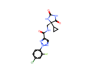 O=C1NC(=O)[C@](CNC(=O)c2cnn(-c3ccc(Cl)cc3F)n2)(C2CC2)N1